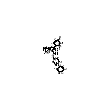 O[C@@](CCSN1CCN(c2ccccc2)CC1)(Cn1cncn1)c1ccc(F)cc1F